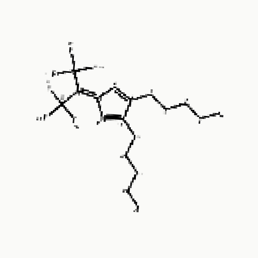 CCCCCC1=CC(=C(C(F)(F)F)C(F)(F)F)N=C1CCCCC